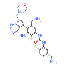 NCc1ccc(F)c(NC(=O)Nc2cc(CN)c(-c3cc(CN4CCOCC4)n4ncnc(N)c34)cc2F)c1